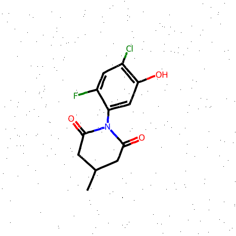 CC1CC(=O)N(c2cc(O)c(Cl)cc2F)C(=O)C1